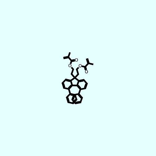 C=C(C)C(=O)OCCC1(CCOC(=O)C(=C)C)c2cccc(-c3ccccc3)c2-c2c(-c3ccccc3)cccc21